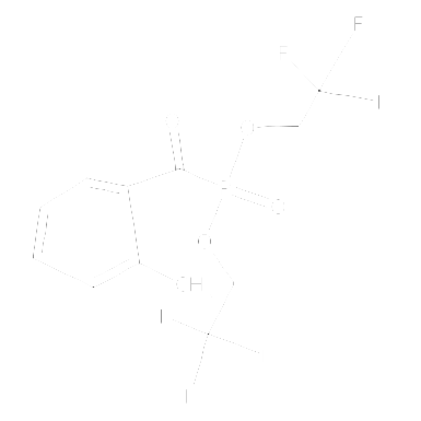 Cc1ccccc1C(=O)P(=O)(OCC(F)(F)F)OCC(F)(F)F